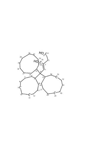 O=C(O)CC(=CC(C1CCCCCCCCC1)(C1CCCCCCCCC1)C1CCCCCCCCC1)C(=O)O